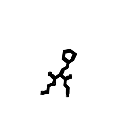 O=C(OCC=S)C(=CCc1ccccc1)C(=S)CC=S